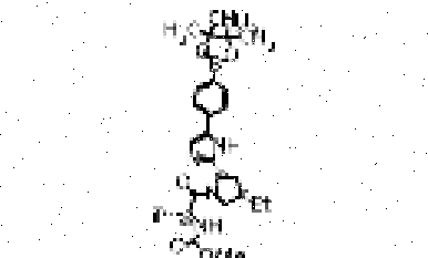 CC[C@H]1C[C@@H](c2ncc(-c3ccc(B4OC(C)(C)C(C)(C)O4)cc3)[nH]2)N(C(=O)[C@@H](NC(=O)OC)C(C)C)C1